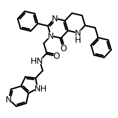 O=C(Cn1c(-c2ccccc2)nc2c(c1=O)NC(Cc1ccccc1)CC2)NCc1cc2cnccc2[nH]1